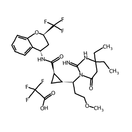 CCC1(CC)CC(=O)N(C(CCOC)[C@@H]2C[C@H]2C(=O)N[C@H]2C[C@H](C(F)(F)F)Oc3ccccc32)C(=N)N1.O=C(O)C(F)(F)F